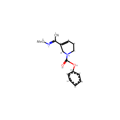 CON=C(C#N)C1=CCCN(C(=O)Oc2ccccc2)C1